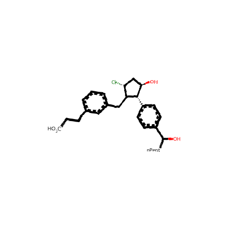 CCCCCC(O)c1ccc([C@@H]2C(Cc3cccc(CCC(=O)O)c3)[C@H](Cl)C[C@H]2O)cc1